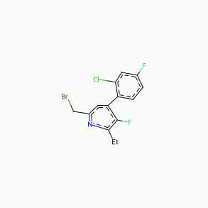 [CH2]Cc1nc(CBr)cc(-c2ccc(F)cc2Cl)c1F